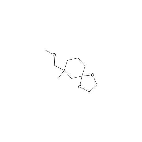 COCC1(C)CCCC2(C1)OCCO2